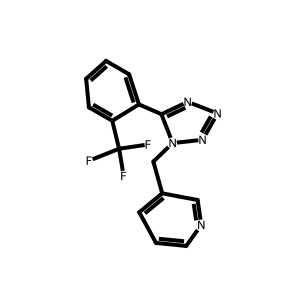 FC(F)(F)c1ccccc1-c1nnnn1Cc1cccnc1